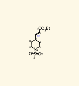 CCOC(=O)/C=C/C1CCN(S(C)(=O)=O)CC1